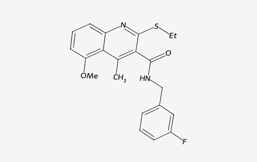 CCSc1nc2cccc(OC)c2c(C)c1C(=O)NCc1cccc(F)c1